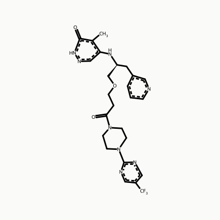 Cc1c(N[C@H](COCCC(=O)N2CCN(c3ncc(C(F)(F)F)cn3)CC2)Cc2cccnc2)cn[nH]c1=O